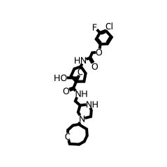 O=C(COc1ccc(Cl)c(F)c1)NC12CCC(C(=O)NCC3CN(C4CCCCCCCC4)CCN3)(CC1)C(O)C2